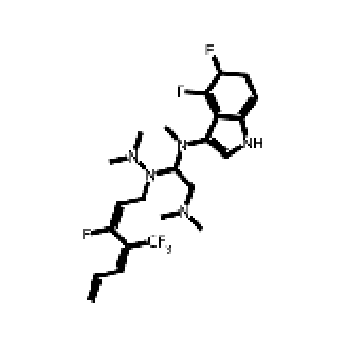 C=C/C=C(\C(F)=C/CN(C(CN(C)C)N(C)c1c[nH]c2c1=C(F)C(F)CC=2)N(C)C)C(F)(F)F